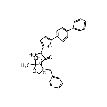 CC1(C)OC[C@H](Cc2ccccc2)N1C(=O)C(O)c1ccc(-c2ccc(-c3ccccc3)cc2)o1